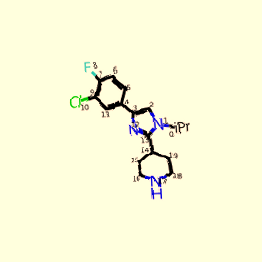 CC(C)n1cc(-c2ccc(F)c(Cl)c2)nc1C1CCNCC1